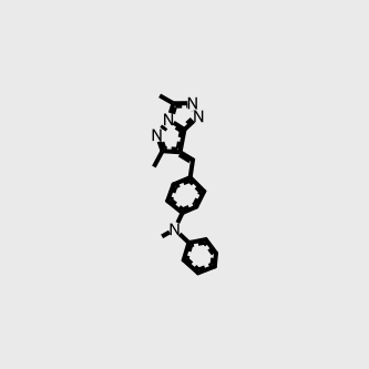 Cc1nn2c(C)nnc2c1=Cc1ccc(N(C)c2ccccc2)cc1